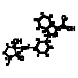 CN1CC[C@](O)(C#Cc2cccc(-n3nc(C(=O)O)c4ccccc43)c2)C1=O